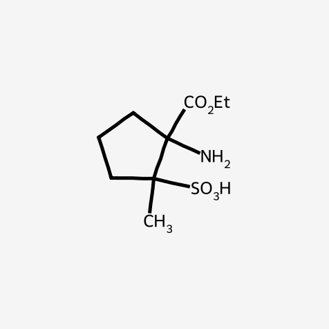 CCOC(=O)C1(N)CCCC1(C)S(=O)(=O)O